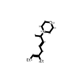 CCC=C(CC)CC=CC(C)N1CCOCC1